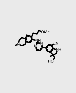 COCCCc1cc2c(cc1Nc1nccc(-c3cc(C#N)c4c(c3)C(C)(CO)CN4)n1)CCN(C)CC2